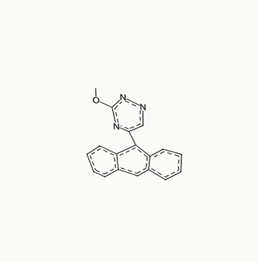 COc1nncc(-c2c3ccccc3cc3ccccc23)n1